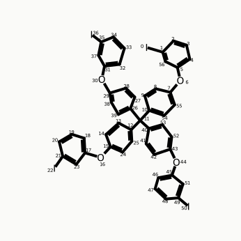 Ic1cccc(Oc2ccc(C(c3ccc(Oc4cccc(I)c4)cc3)(c3ccc(Oc4cccc(I)c4)cc3)c3ccc(Oc4cccc(I)c4)cc3)cc2)c1